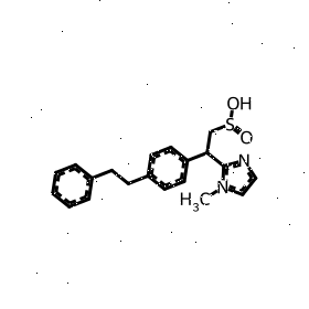 Cn1ccnc1C(CS(=O)O)c1ccc(CCc2ccccc2)cc1